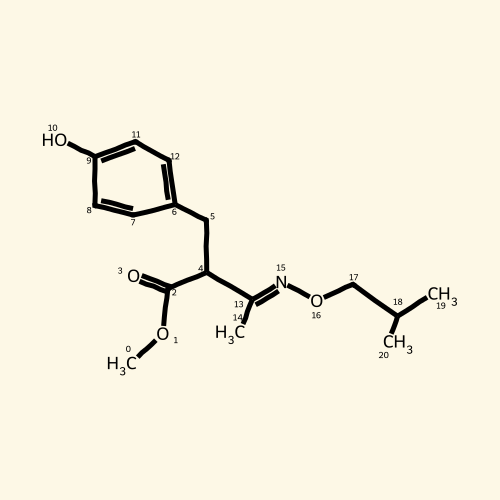 COC(=O)C(Cc1ccc(O)cc1)C(C)=NOCC(C)C